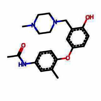 CC(=O)Nc1ccc(Oc2ccc(O)c(CN3CCN(C)CC3)c2)c(C)c1